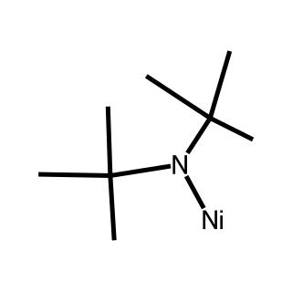 CC(C)(C)[N]([Ni])C(C)(C)C